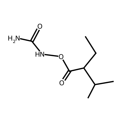 CCC(C(=O)ONC(N)=O)C(C)C